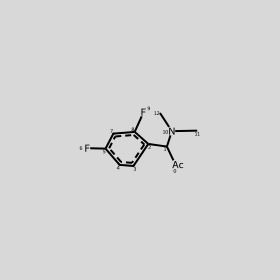 CC(=O)C(c1ccc(F)cc1F)N(C)C